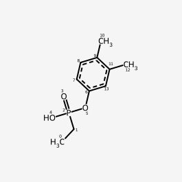 CCP(=O)(O)Oc1ccc(C)c(C)c1